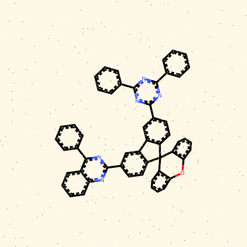 c1ccc(-c2nc(-c3ccccc3)nc(-c3ccc4c(c3)-c3cc(-c5nc(-c6ccccc6)c6ccccc6n5)ccc3C43c4ccccc4Oc4ccccc43)n2)cc1